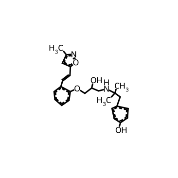 Cc1cc(C=Cc2ccccc2OCC(O)CNC(C)(C)Cc2ccc(O)cc2)on1